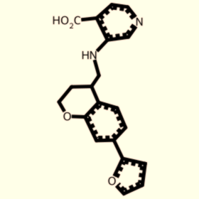 O=C(O)c1ccncc1NCC1CCOc2cc(-c3ccco3)ccc21